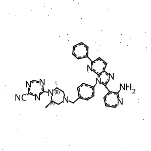 C[C@@H]1CN(Cc2ccc(-n3c(-c4cccnc4N)nc4ccc(-c5ccccc5)nc43)cc2)C[C@@H](C)N1c1ncnc(C#N)n1